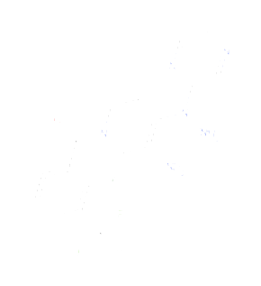 CC1CC(N(N)c2cnccn2)=C(N)CN1C(=O)c1cccc(C(F)(F)F)c1Cl